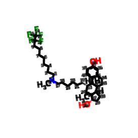 CN(CCCCCCCCC(F)(F)C(F)(F)F)CCCCCC[C@H]1C[C@]2(C)[C@@H](O)CC[C@H]2[C@@H]2CCc3cc(O)ccc3[C@@H]12